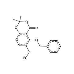 CC(C)Cc1ccc2c(c1OCc1ccccc1)C(=O)OC(C)(C)O2